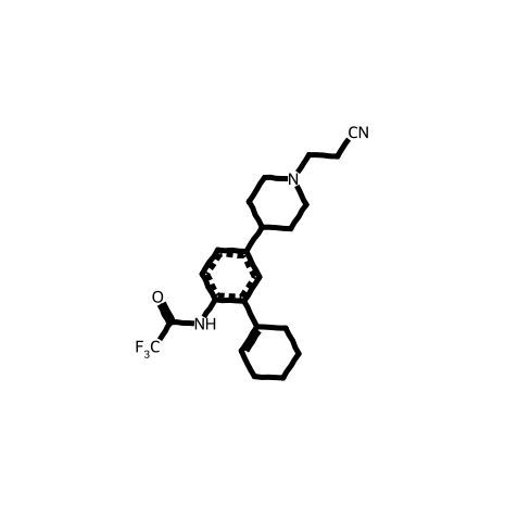 N#CCCN1CCC(c2ccc(NC(=O)C(F)(F)F)c(C3=CCCCC3)c2)CC1